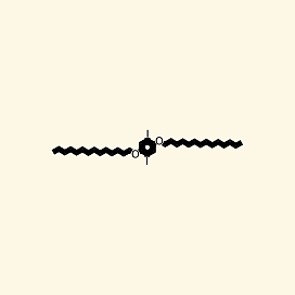 CCCCCCCCCCCCCCOc1cc(I)c(OCCCCCCCCCCCCCC)cc1I